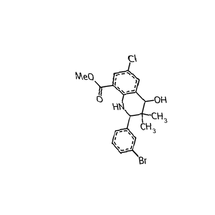 COC(=O)c1cc(Cl)cc2c1NC(c1cccc(Br)c1)C(C)(C)C2O